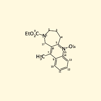 CCOC(=O)N1CCCc2c(c(C)c3ccccc3[n+]2[O-])C1